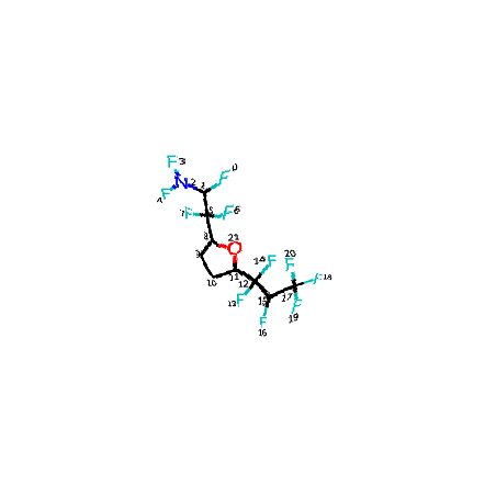 FC(N(F)F)C(F)(F)C1CCC(C(F)(F)C(F)C(F)(F)F)O1